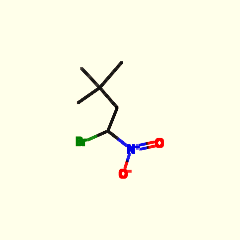 CC(C)(C)CC(Br)[N+](=O)[O-]